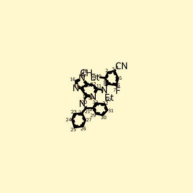 CCc1cc(C#N)cc(F)c1N(CC)c1cc2c(ncn2C)c(N=C(c2ccccc2)c2ccccc2)n1